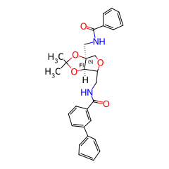 CC1(C)O[C@@H]2C(CNC(=O)c3cccc(-c4ccccc4)c3)OC[C@]2(CNC(=O)c2ccccc2)O1